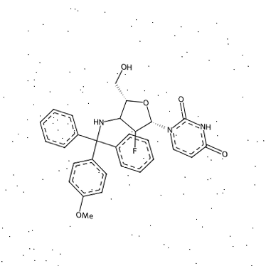 COc1ccc(C(NC2C(F)[C@@H](n3ccc(=O)[nH]c3=O)O[C@H]2CO)(c2ccccc2)c2ccccc2)cc1